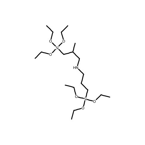 CCO[Si](CCCNCC(C)C[Si](OCC)(OCC)OCC)(OCC)OCC